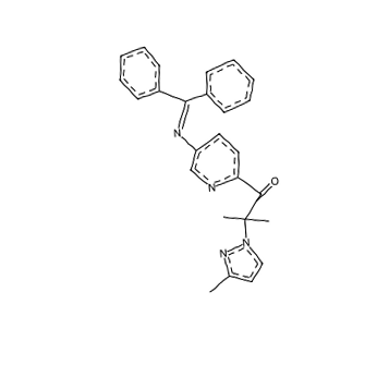 Cc1ccn(C(C)(C)C(=O)c2ccc(N=C(c3ccccc3)c3ccccc3)cn2)n1